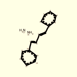 C(/C=C/c1ccccc1)=C\c1ccccc1.N.N